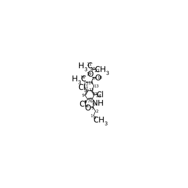 CCCC(=O)Nc1c(Cl)cc(Cl)c(CC(CC)C(=O)OC(C)C)c1Cl